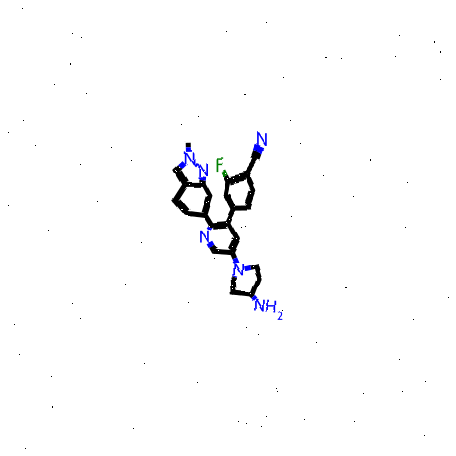 Cn1cc2ccc(-c3ncc(N4CCC(N)CC4)cc3-c3ccc(C#N)c(F)c3)cc2n1